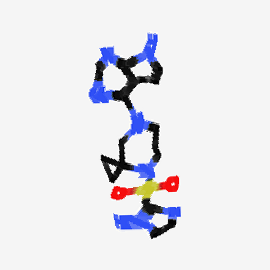 O=S(=O)(c1ncc[nH]1)N1CCN(c2ncnc3[nH]ccc23)CC12CC2